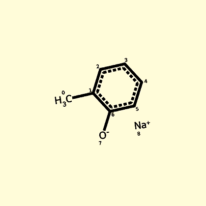 Cc1ccccc1[O-].[Na+]